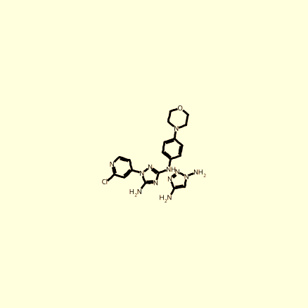 Nc1cn(N)nn1.Nc1nc(Nc2ccc(N3CCOCC3)cc2)nn1-c1ccnc(Cl)c1